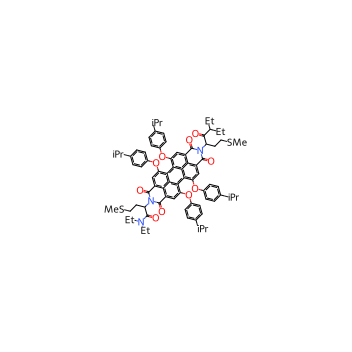 CCC(CC)C(=O)C(CCSC)N1C(=O)c2cc(Oc3ccc(C(C)C)cc3)c3c4c(Oc5ccc(C(C)C)cc5)cc5c6c(cc(Oc7ccc(C(C)C)cc7)c(c7c(Oc8ccc(C(C)C)cc8)cc(c2c37)C1=O)c64)C(=O)N(C(CCSC)C(=O)N(CC)CC)C5=O